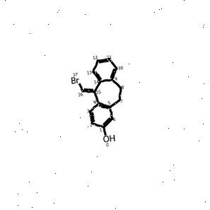 Oc1ccc2c(c1)CCc1ccccc1/C2=C\Br